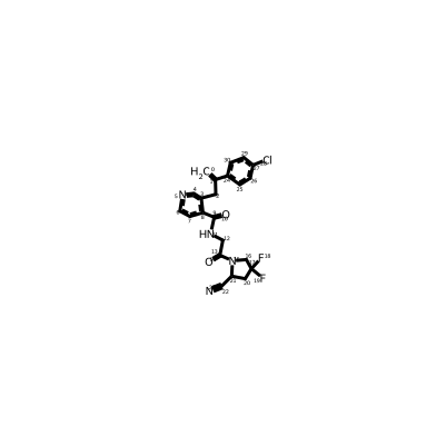 C=C(Cc1cnccc1C(=O)NCC(=O)N1CC(F)(F)CC1C#N)c1ccc(Cl)cc1